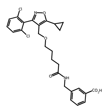 O=C(CCCCOCc1c(-c2c(Cl)cccc2Cl)noc1C1CC1)NCc1cccc(C(=O)O)c1